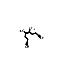 C#CCCC(C)=C(C)CCC#C